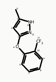 Cc1cc(Oc2ccccc2C(F)(F)F)n[nH]1